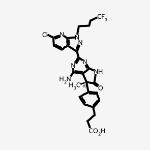 C[C@]1(c2ccc(CCC(=O)O)cc2)C(=O)Nc2nc(-c3nn(CCCC(F)(F)F)c4nc(Cl)ccc34)nc(N)c21